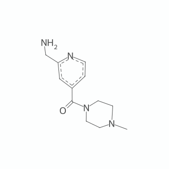 CN1CCN(C(=O)c2ccnc(CN)c2)CC1